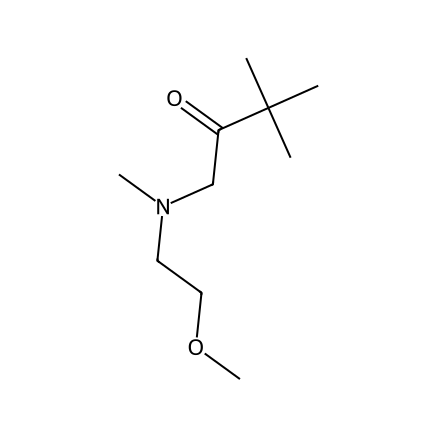 COCCN(C)CC(=O)C(C)(C)C